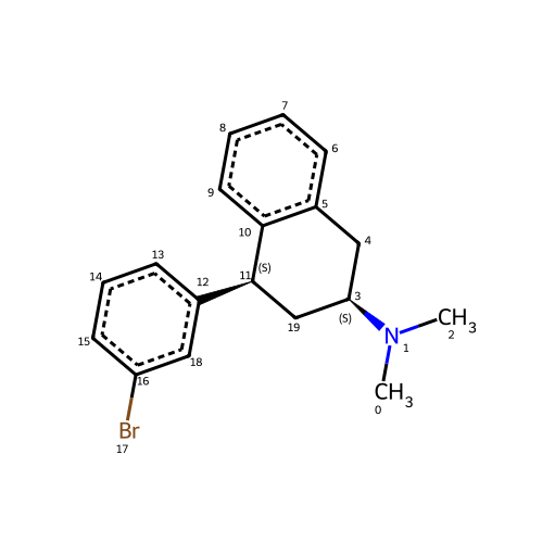 CN(C)[C@@H]1Cc2ccccc2[C@H](c2cccc(Br)c2)C1